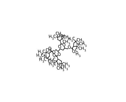 CN1C(C)(C)CC(C(=O)OCC(CCC(COC(=O)C2CC(C)(C)N(C)C2(C)C)OC(=O)C2CC(C)(C)N(C)C2(C)C)OC(=O)C2CC(C)(C)NC2(C)C)C1(C)C